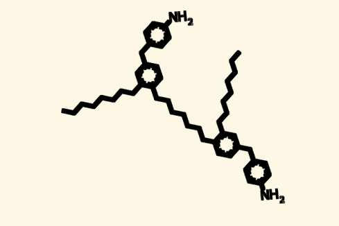 CCCCCCCCc1cc(Cc2ccc(N)cc2)ccc1CCCCCCCc1ccc(Cc2ccc(N)cc2)cc1CCCCCCCC